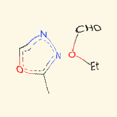 CCOC=O.Cc1nnco1